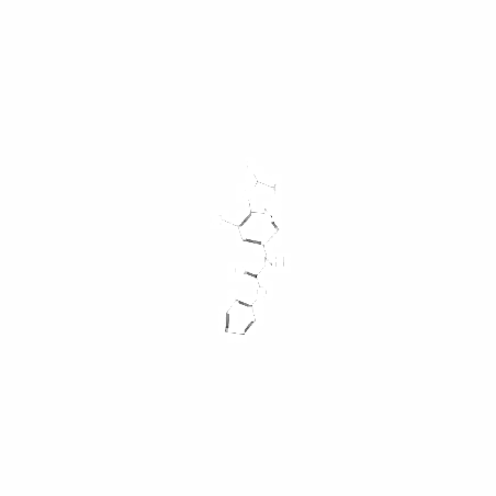 O=C(Nc1cnc(OC(F)F)c(Cl)c1)Oc1ccccc1